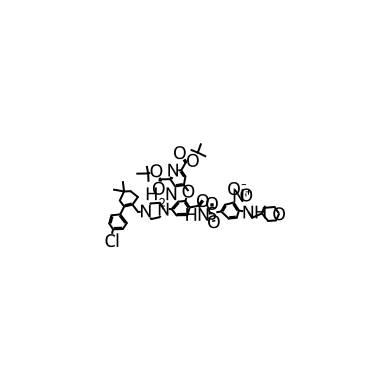 CC1(C)CCC(CN2CCN(c3ccc(C(=O)NS(=O)(=O)c4ccc(NCC5CCOCC5)c([N+](=O)[O-])c4)c(Oc4cc(C(=O)OC(C)(C)C)nc(C(=O)OC(C)(C)C)c4N)c3)CC2)=C(c2ccc(Cl)cc2)C1